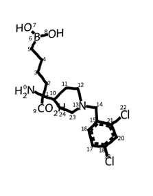 NC(CCCCB(O)O)(C(=O)O)C1CCN(Cc2ccc(Cl)cc2Cl)CC1